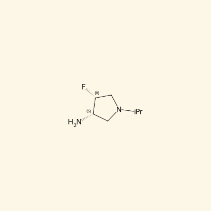 CC(C)N1C[C@@H](F)[C@@H](N)C1